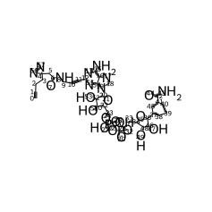 C#CCCC1(CC(=O)NCC#Cc2nc(N)c3ncn(C4OC(COP(=O)(O)OP(=O)(O)OCC5OC(c6cccc(C(N)=O)c6)C(O)C5O)C(O)C4O)c3n2)N=N1